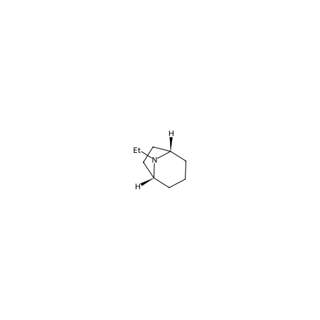 CCN1[C@@H]2CCC[C@H]1CC2